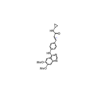 COc1cc2ncnc(Nc3ccc(/C=C/C(=O)NC4CC4)cc3)c2cc1OC